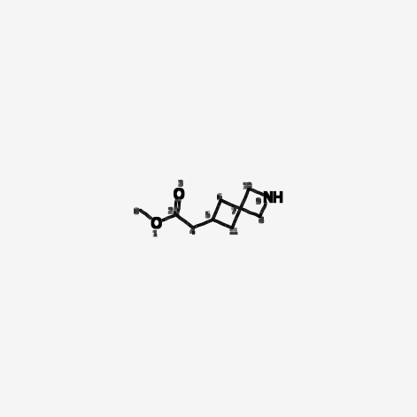 COC(=O)CC1CC2(CNC2)C1